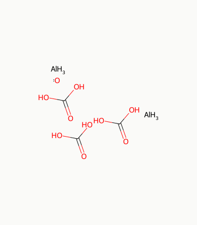 O=C(O)O.O=C(O)O.O=C(O)O.[AlH3].[AlH3].[O]